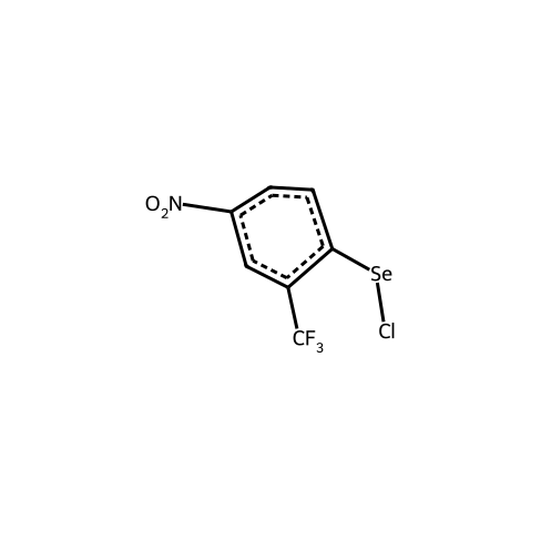 O=[N+]([O-])c1ccc([Se]Cl)c(C(F)(F)F)c1